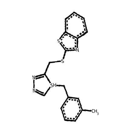 Cc1cccc(C[SH]2C=NN=C2CSc2nc3ccccc3s2)c1